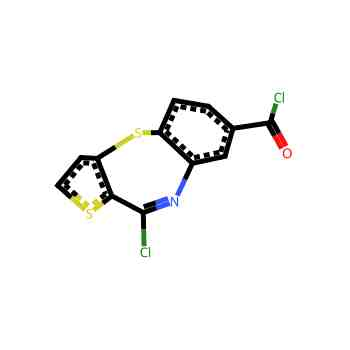 O=C(Cl)c1ccc2c(c1)N=C(Cl)c1sccc1S2